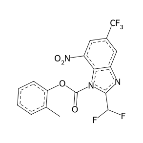 Cc1ccccc1OC(=O)n1c(C(F)F)nc2cc(C(F)(F)F)cc([N+](=O)[O-])c21